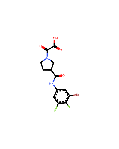 O=C(O)C(=O)N1CCC(C(=O)Nc2cc(F)c(F)c(Br)c2)C1